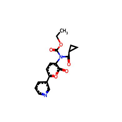 CCOC(=O)N(C(=O)C1CC1)c1ccc(-c2cccnc2)oc1=O